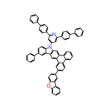 c1ccc(-c2ccc(-c3cc(-n4c5ccc(-c6ccccc6)cc5c5cc6c7cc(-c8ccc9oc%10ccccc%10c9c8)ccc7c7ccccc7c6cc54)cc(-c4ccc(-c5ccccc5)cc4)n3)cc2)cc1